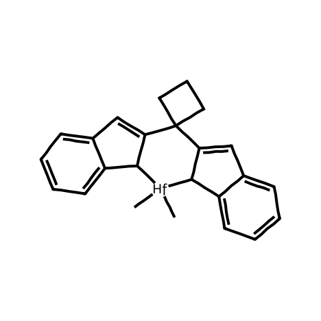 [CH3][Hf]1([CH3])[CH]2C(=Cc3ccccc32)C2(CCC2)C2=Cc3ccccc3[CH]21